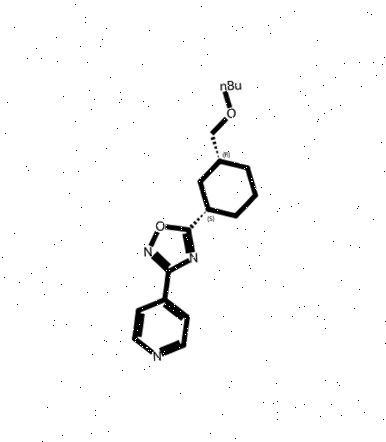 CCCCOC[C@@H]1CCC[C@H](c2nc(-c3ccncc3)no2)C1